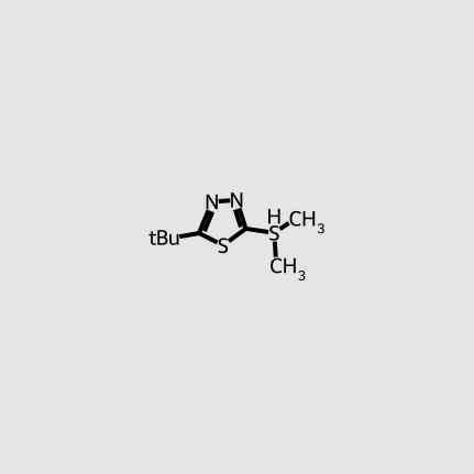 C[SH](C)c1nnc(C(C)(C)C)s1